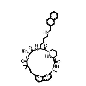 CC(C)[C@@H]1OC(=O)C(C)(C)/C=C/c2ccc3ccc(nc3c2)N(C)NC(=O)[C@@H]2CCCN(N2)C(=O)[C@H](CCCCNCc2ccc3ccccc3c2)NC1=O